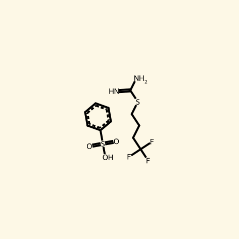 N=C(N)SCCCC(F)(F)F.O=S(=O)(O)c1ccccc1